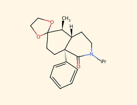 CC(C)N1CC[C@H]2[C@H](C)C3(CC[C@]2(c2ccccc2)C1=O)OCCO3